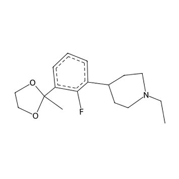 CCN1CCC(c2cccc(C3(C)OCCO3)c2F)CC1